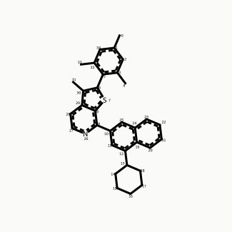 Cc1cc(C)c(-c2sc3c(-c4cc(C5CCCCC5)c5ccccc5c4)nccc3c2C)c(C)c1